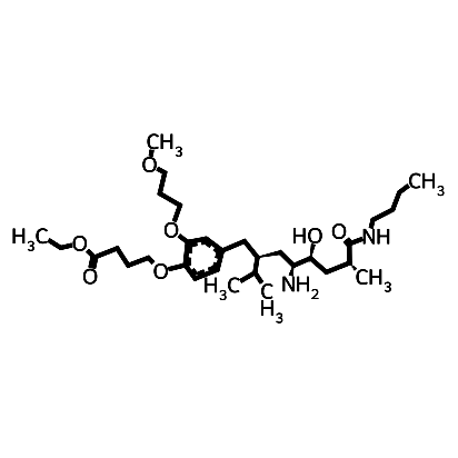 CCCCNC(=O)[C@H](C)C[C@H](O)[C@@H](N)C[C@H](Cc1ccc(OCCCC(=O)OCC)c(OCCCOC)c1)C(C)C